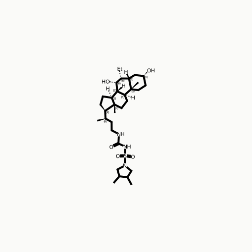 CC[C@H]1[C@@H](O)[C@@H]2[C@H](CC[C@]3(C)[C@@H]([C@H](C)CCNC(=O)NS(=O)(=O)N4CC(C)C(C)C4)CC[C@@H]23)[C@@]2(C)CC[C@@H](O)C[C@@H]12